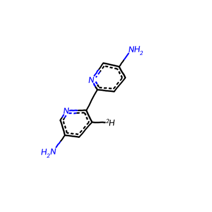 [2H]c1cc(N)cnc1-c1ccc(N)cn1